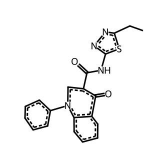 CCc1nnc(NC(=O)c2cn(-c3ccccc3)c3ccccc3c2=O)s1